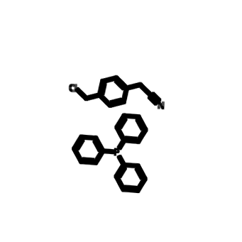 N#CCc1ccc(CCl)cc1.c1ccc(P(c2ccccc2)c2ccccc2)cc1